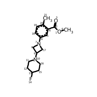 COC(=O)c1cc(N2CC(N3CCC(F)CC3)C2)ccc1C